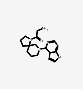 NCC(=O)N1CCCC12CCCN(C1N=CN=C3NC=CC31)C2